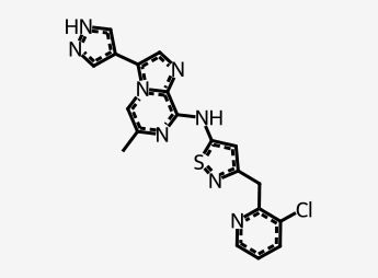 Cc1cn2c(-c3cn[nH]c3)cnc2c(Nc2cc(Cc3ncccc3Cl)ns2)n1